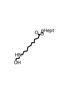 CCCCCCCOC(=O)CCCCCCCCCNCCO